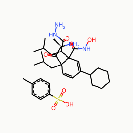 CC(C)C[C@@H](C(=O)NN)C1(C(=O)NO)C=C(C2CCCCC2)C=CC1(CC(C)C)C(=O)[C@@H](C)N.Cc1ccc(S(=O)(=O)O)cc1